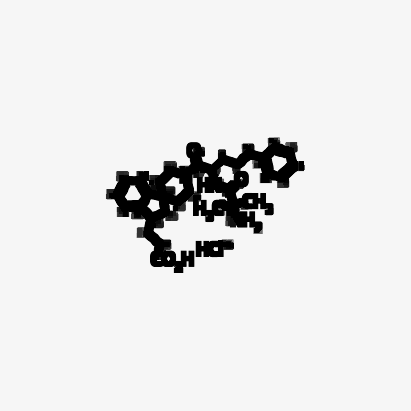 CC(C)(N)C(=O)N[C@H](CCCc1ccccc1)C(=O)N1CCC2(CC1)CC(CCC(=O)O)c1ccccc12.Cl